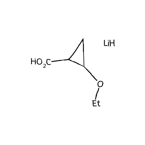 CCOC1CC1C(=O)O.[LiH]